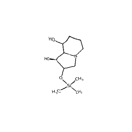 C[Si](C)(C)OC1CN2CCCC(O)C2[C@@H]1O